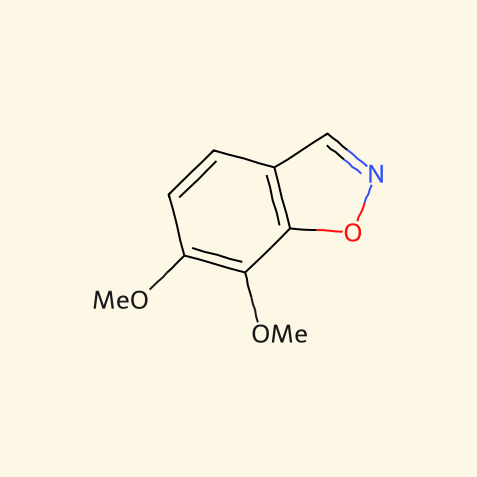 COc1ccc2cnoc2c1OC